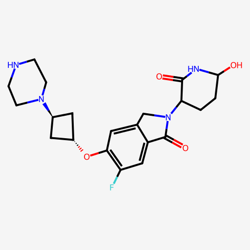 O=C1NC(O)CCC1N1Cc2cc(O[C@H]3C[C@H](N4CCNCC4)C3)c(F)cc2C1=O